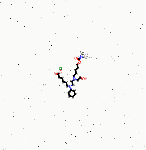 CCCCCCCCN(CCCCCCCC)C(=O)OCCCCCN(CCO)CCN(CCCCCC(=O)OCl)C1CCCCC1